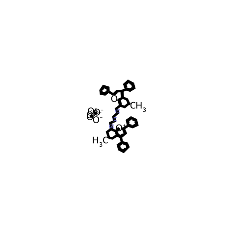 CC1CC(/C=C/C=C/C=C2/CC(C)Cc3c(-c4ccccc4)cc(-c4ccccc4)[o+]c32)=C2OC(c3ccccc3)=CC(c3ccccc3)=C2C1.[O-][Cl+3]([O-])([O-])[O-]